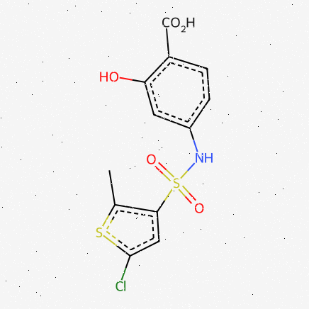 Cc1sc(Cl)cc1S(=O)(=O)Nc1ccc(C(=O)O)c(O)c1